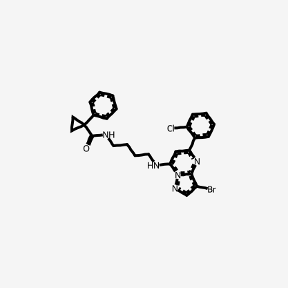 O=C(NCCCCNc1cc(-c2ccccc2Cl)nc2c(Br)cnn12)C1(c2ccccc2)CC1